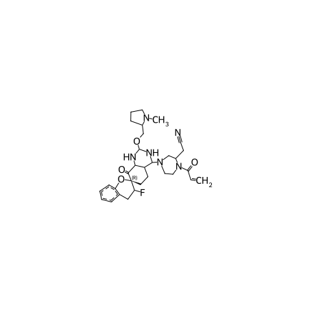 C=CC(=O)N1CCN(C2NC(OCC3CCCN3C)NC3C(=O)[C@@]4(CCC32)Oc2ccccc2CC4F)CC1CC#N